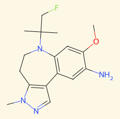 COc1cc2c(cc1N)-c1cnn(C)c1CCN2C(C)(C)CF